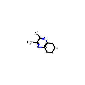 CC(=O)c1nc2c(nc1C)CCCC2